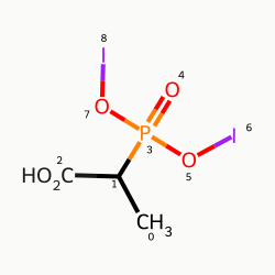 CC(C(=O)O)P(=O)(OI)OI